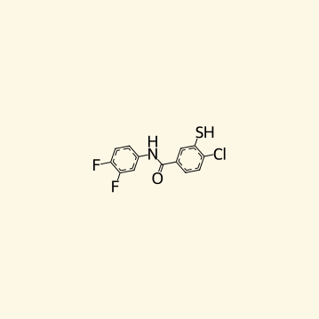 O=C(Nc1ccc(F)c(F)c1)c1ccc(Cl)c(S)c1